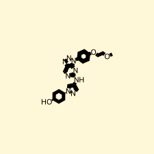 COCCOc1ccc(-n2nnc3cnc(Nc4cnn([C@H]5CC[C@H](O)CC5)c4)nc32)cc1